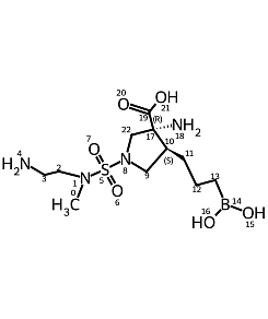 CN(CCN)S(=O)(=O)N1C[C@H](CCCB(O)O)[C@](N)(C(=O)O)C1